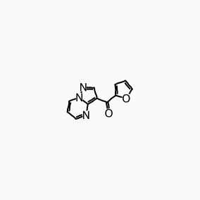 O=C(c1ccco1)c1cnn2cccnc12